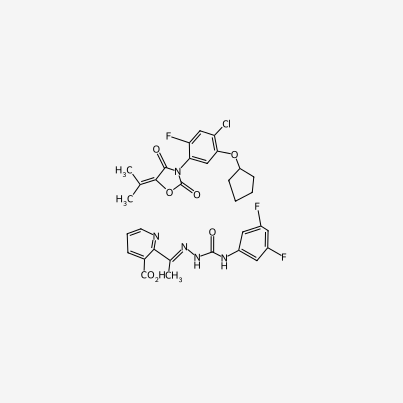 C/C(=N\NC(=O)Nc1cc(F)cc(F)c1)c1ncccc1C(=O)O.CC(C)=C1OC(=O)N(c2cc(OC3CCCC3)c(Cl)cc2F)C1=O